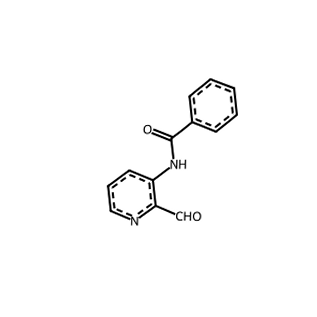 O=Cc1ncccc1NC(=O)c1ccccc1